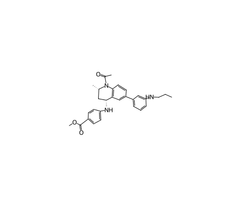 CCCNc1cccc(-c2ccc3c(c2)[C@H](Nc2ccc(C(=O)OC)cc2)C[C@H](C)N3C(C)=O)c1